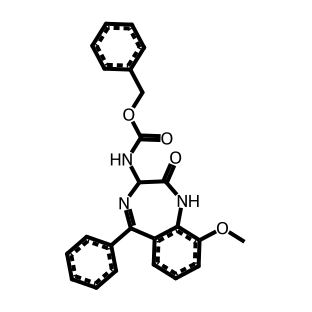 COc1cccc2c1NC(=O)C(NC(=O)OCc1ccccc1)N=C2c1ccccc1